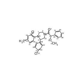 COC(C(=O)N1CCN(c2ccc(C)cc2Cl)[C@H](c2ccc(Cl)cc2)C1)c1ccccc1